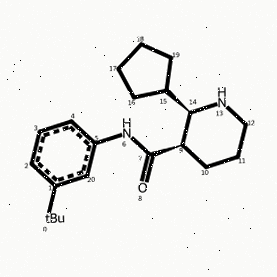 CC(C)(C)c1cccc(NC(=O)[C@@H]2CCCN[C@@H]2C2CCCC2)c1